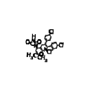 CC1(C)CC(N2CC(=O)NC2=O)c2cc(-c3ccc(Cl)cc3)c(-c3ccc(Cl)cc3Cl)nc2O1